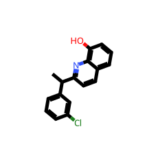 CC(c1cccc(Cl)c1)c1ccc2cccc(O)c2n1